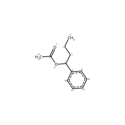 CCCC(OC(C)=O)c1ccccc1